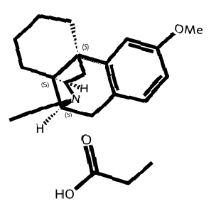 CCC(=O)O.COc1ccc2c(c1)[C@]13CCCC[C@@H]1[C@H](C2)N(C)CC3